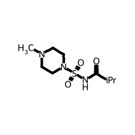 CC(C)C(=O)NS(=O)(=O)N1CCN(C)CC1